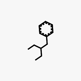 CCC(CC)Cc1cc[c]cc1